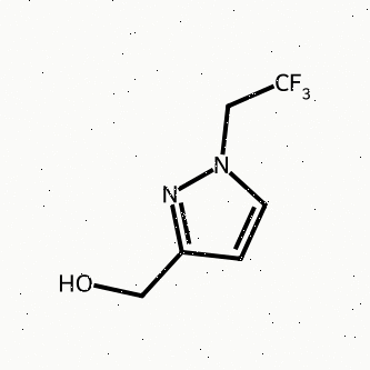 OCc1ccn(CC(F)(F)F)n1